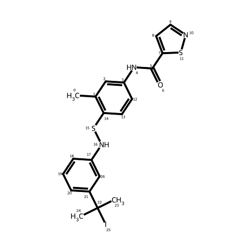 Cc1cc(NC(=O)c2ccns2)ccc1SNc1cccc(C(C)(C)I)c1